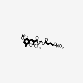 Cc1cc(OC(F)(F)F)cc2c1O[C@H](C(F)(F)F)C(C(=O)OCOC(=O)CCCO[N+](=O)[O-])=C2